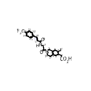 O=C(O)Cc1cc2c(cc1F)CN(C(=O)CNC(=O)/C=C/c1ccc(C(F)(F)F)cc1)CC2